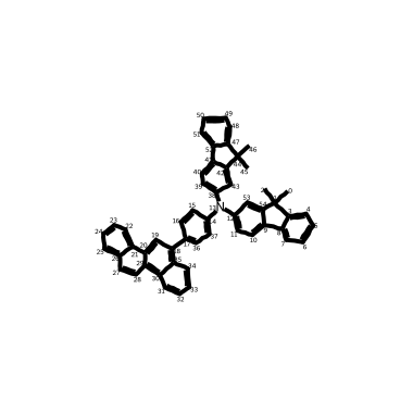 CC1(C)c2ccccc2-c2ccc(N(c3ccc(-c4cc5c6ccccc6ccc5c5ccccc45)cc3)c3ccc4c(c3)C(C)(C)c3ccccc3-4)cc21